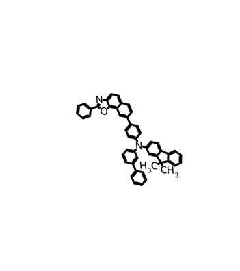 CC1(C)c2ccccc2-c2ccc(N(c3ccc(-c4ccc5ccc6nc(-c7ccccc7)oc6c5c4)cc3)c3cccc(-c4ccccc4)c3)cc21